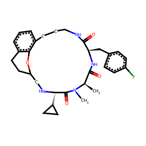 C[C@@H]1C(=O)N[C@H](Cc2ccc(F)cc2)C(=O)NCCCc2cccc3c2OC(CC3)CN[C@@H](C2CC2)C(=O)N1C